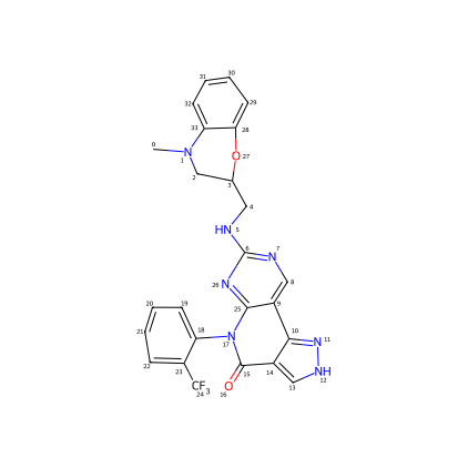 CN1CC(CNc2ncc3c4n[nH]cc4c(=O)n(-c4ccccc4C(F)(F)F)c3n2)Oc2ccccc21